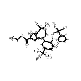 CCNC(=O)c1cc2c(-c3cc(C(C)(C)O)ccc3Oc3c(C)cccc3C(F)(F)F)cn(C)c(=O)c2[nH]1